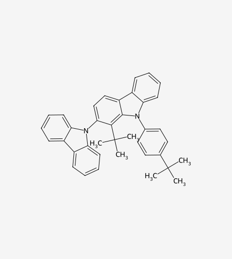 CC(C)(C)c1ccc(-n2c3ccccc3c3ccc(-n4c5ccccc5c5ccccc54)c(C(C)(C)C)c32)cc1